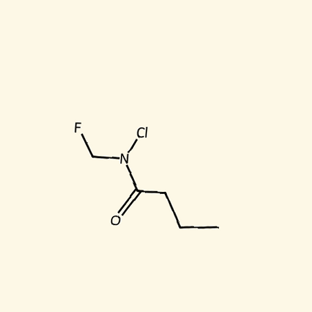 CCCC(=O)N(Cl)CF